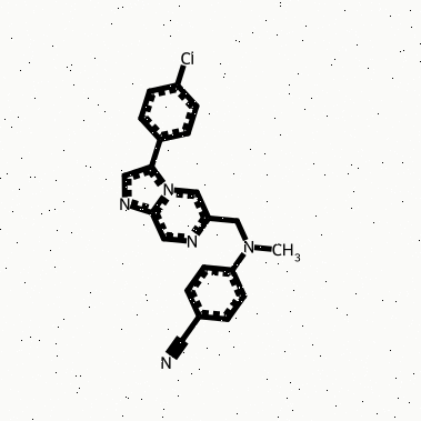 CN(Cc1cn2c(-c3ccc(Cl)cc3)cnc2cn1)c1ccc(C#N)cc1